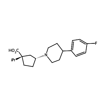 CC(C)[C@]1(C(=O)O)CC[C@@H](N2CCC(c3ccc(F)cc3)CC2)C1